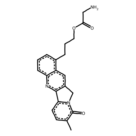 Cc1ccc2n(c1=O)Cc1cc3c(CCCOC(=O)CN)cccc3nc1-2